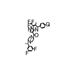 COc1ccc(-c2nc3c(C(=O)N4CCN([C@H](C)c5cc(F)cc(F)c5)CC4)cnn3c(C(F)(F)F)c2C)cc1